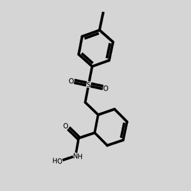 Cc1ccc(S(=O)(=O)CC2CC=CCC2C(=O)NO)cc1